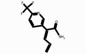 C=CC=C(C(N)=O)c1ccc(C(F)(F)F)nc1